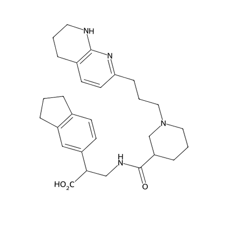 O=C(NCC(C(=O)O)c1ccc2c(c1)CCC2)C1CCCN(CCCc2ccc3c(n2)NCCC3)C1